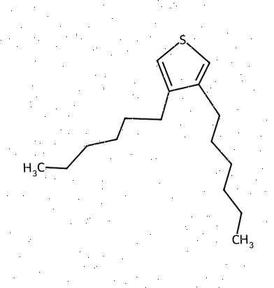 CCCCCCc1cscc1CCCCCC